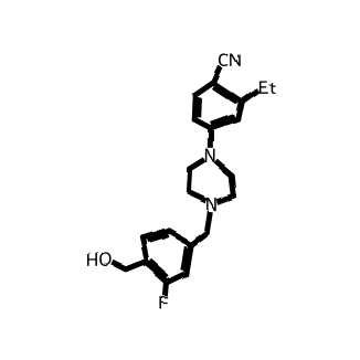 CCc1cc(N2CCN(Cc3ccc(CO)c(F)c3)CC2)ccc1C#N